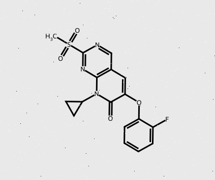 CS(=O)(=O)c1ncc2cc(Oc3ccccc3F)c(=O)n(C3CC3)c2n1